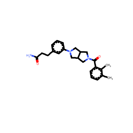 Cc1cccc(C(=O)N2CC3CN(c4cccc(CCC(N)=O)c4)CC3C2)c1C